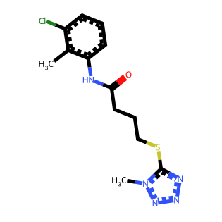 Cc1c(Cl)cccc1NC(=O)CCCSc1nnnn1C